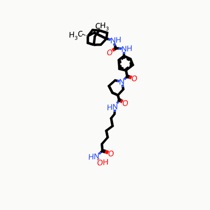 C[C@]12CC3CC(NC(=O)Nc4ccc(C(=O)N5CCCC(C(=O)NCCCCCCC(=O)NO)C5)cc4)(C1)C[C@@](C)(C3)C2